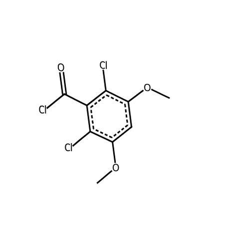 COc1cc(OC)c(Cl)c(C(=O)Cl)c1Cl